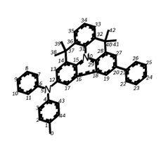 Cc1ccc(N(c2ccccc2)c2cc3c4c(c2)c2cc(-c5ccccc5)cc5c2n4-c2c(cccc2C3(C)C)C5(C)C)cc1